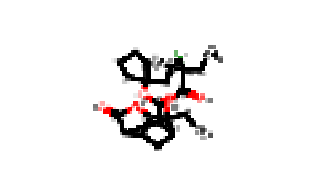 CCC1(OC(=O)C2C3C(=O)OC4C3CC2C4(CC)OC(=O)C(C)(F)CC)CCCC1